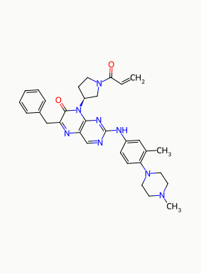 C=CC(=O)N1CC[C@H](n2c(=O)c(Cc3ccccc3)nc3cnc(Nc4ccc(N5CCN(C)CC5)c(C)c4)nc32)C1